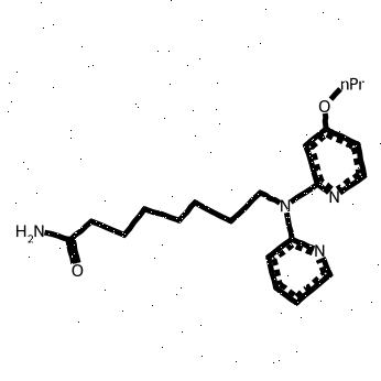 CCCOc1ccnc(N(CCCCCCCC(N)=O)c2ccccn2)c1